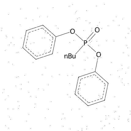 CCCCP(=O)(Oc1ccccc1)Oc1ccccc1